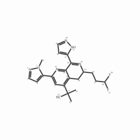 Cn1nccc1-c1cc(C(C)(C)C#N)c2c(n1)C(c1ccn[nH]1)=NC(CCC(F)F)C2